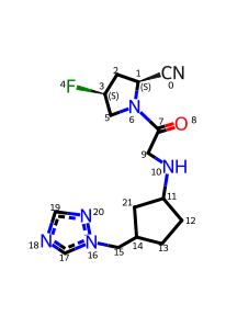 N#C[C@@H]1C[C@H](F)CN1C(=O)CNC1CCC(Cn2cncn2)C1